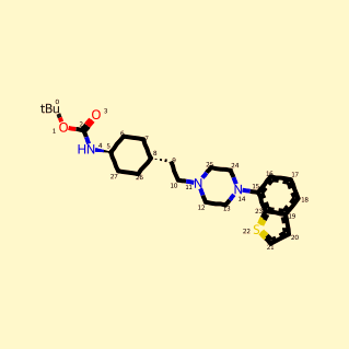 CC(C)(C)OC(=O)N[C@H]1CC[C@H](CCN2CCN(c3cccc4ccsc34)CC2)CC1